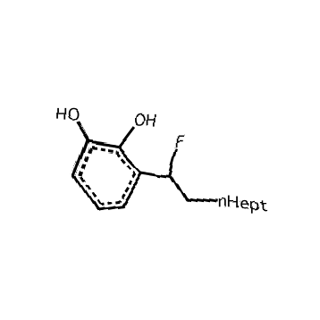 CCCCCCCCC(F)c1cccc(O)c1O